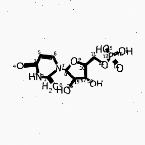 C=C1NC(=O)C=CN1[C@@H]1OC(COP(=O)(O)O)[C@@H](O)C1O